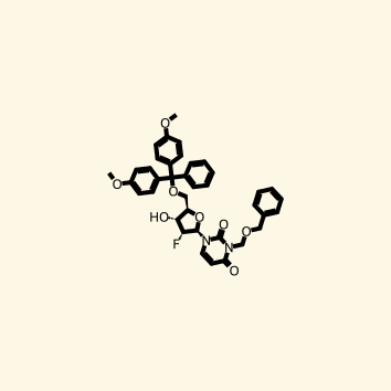 COc1ccc(C(OC[C@H]2O[C@@H](n3ccc(=O)n(COCc4ccccc4)c3=O)[C@H](F)[C@@H]2O)(c2ccccc2)c2ccc(OC)cc2)cc1